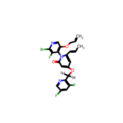 [2H]C([2H])(Oc1cc(C=CC)n(-c2c(OCC=C)cnc(Br)c2F)c(=O)c1)c1ncc(F)cc1F